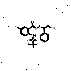 CCC(O/N=C(\C)c1cc(Cl)ccc1NS(=O)(=O)C(F)(F)F)c1ccccc1